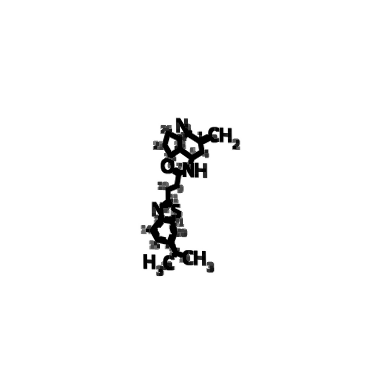 C=C(C#N)CC(NC(=O)CCc1nc2ccc(C(C)C)cc2s1)C1CCCC1